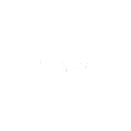 O=C(O)CCCCCNC(=O)/C=C/c1ccc(C(F)(F)F)cc1